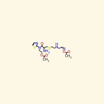 CC(=O)OCCN(C(=O)[C@@H](N)CSCCNC/C=N\OC(C)=O)c1nccs1